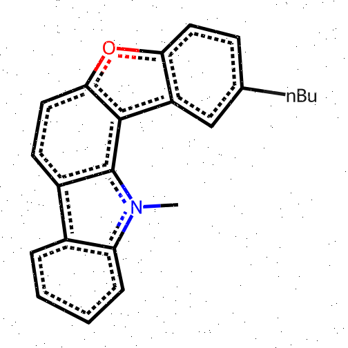 CCCCc1ccc2oc3ccc4c5ccccc5n(C)c4c3c2c1